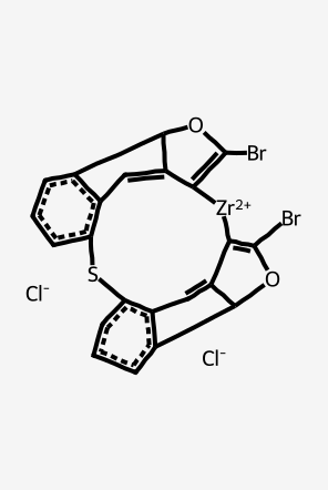 BrC1=[C]2[Zr+2][C]3=C(Br)OC4C3=Cc3c(cccc34)Sc3cccc4c3C=C2C4O1.[Cl-].[Cl-]